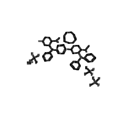 C1=C\CC/C=C\CC/1.CC1CCC(C(C)C)C(P(c2ccccc2)c2ccccc2)C1.CC1CCC(C(C)C)C(P(c2ccccc2)c2ccccc2)C1.F[B-](F)(F)F.F[B-](F)(F)F.F[B-](F)(F)F.[Rh+3]